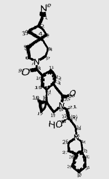 N#CC1CC2(CCN(C(=O)c3ccc4c(c3)C3(CC3)CN(C[C@H](O)CN3CCc5ccccc5C3)C4=O)CC2)C1